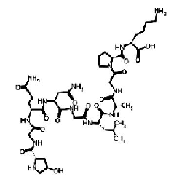 CC(C)C[C@H](NC(=O)CNC(=O)[C@H](CC(N)=O)NC(=O)[C@H](CCC(N)=O)NC(=O)CNC(=O)[C@@H]1C[C@@H](O)CN1)C(=O)N[C@@H](C)C(=O)NCC(=O)N1CCC[C@H]1C(=O)N[C@@H](CCCCN)C(=O)O